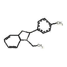 CCC1C(c2ccc(C)cc2)[C]C2C=CC=CC21